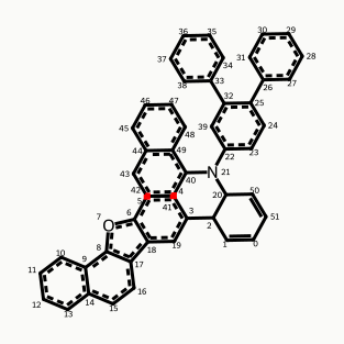 C1=CC(c2ccc3oc4c5ccccc5ccc4c3c2)C(N(c2ccc(-c3ccccc3)c(-c3ccccc3)c2)c2cccc3ccccc23)C=C1